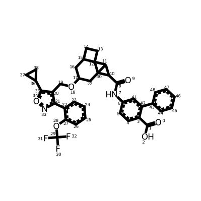 O=C(O)c1ccc(NC(=O)C2C3C45CCC4CC(OCc4c(-c6ccccc6OC(F)(F)F)noc4C4CC4)CC235)cc1-c1ccccc1